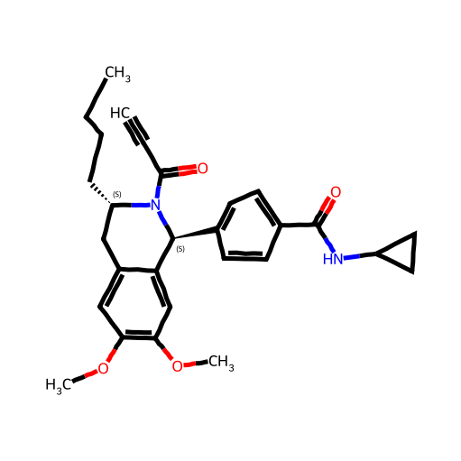 C#CC(=O)N1[C@@H](CCCC)Cc2cc(OC)c(OC)cc2[C@@H]1c1ccc(C(=O)NC2CC2)cc1